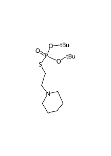 CC(C)(C)OP(=O)(OC(C)(C)C)SCCN1CCCCC1